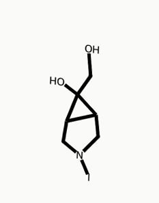 OCC1(O)C2CN(I)CC21